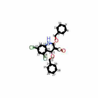 O=C=C1[C@H](OCc2ccccc2)Nc2cc(Cl)cc(Cl)c2[C@H]1OCc1ccccc1